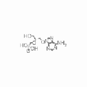 Nc1ncnc2c1ncn2OC[C@@H](CO)OCP(=O)(O)O